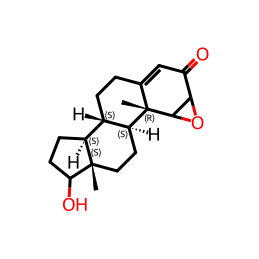 C[C@]12CC[C@H]3[C@@H](CCC4=CC(=O)C5OC5[C@@]43C)[C@@H]1CCC2O